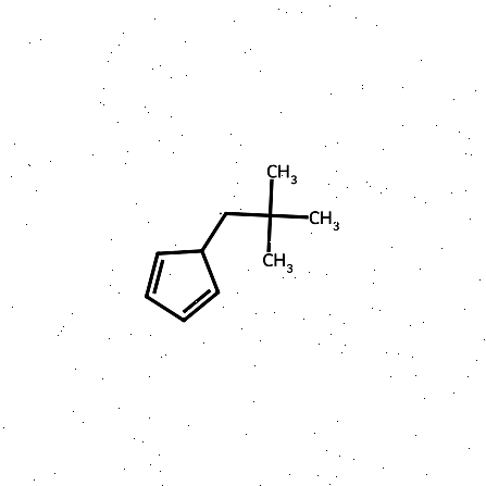 CC(C)(C)[CH]C1C=CC=C1